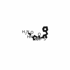 NCC(=O)NC1CN[C@H](C(=O)Nc2cc(Cc3ccccc3)cs2)C1